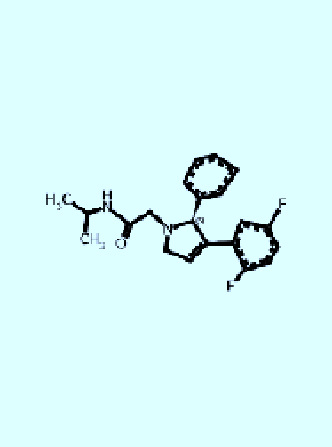 CC(C)NC(=O)CN1CC=C(c2cc(F)ccc2F)[C@@H]1c1ccccc1